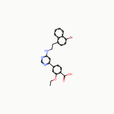 CCOc1cc(-c2cc(NCCc3ccc(Br)c4ccccc34)ncn2)ccc1C(=O)O